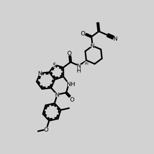 C=C(C#N)C(=O)N1CCC[C@@H](NC(=O)c2sc3nccc4c3c2NC(=O)N4c2ccc(OC)cc2C)C1